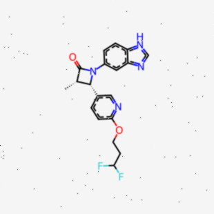 C[C@@H]1C(=O)N(c2ccc3[nH]cnc3c2)[C@@H]1c1ccc(OCCC(F)F)nc1